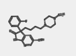 COc1cnc2c(c1)C(CCCCN1CCN(C(=O)O)CC1)(c1ccccc1F)C(=O)N2